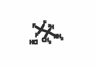 Cl.[2H]C(C)(N)C(F)(F)F